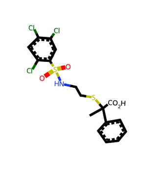 CC(SCCNS(=O)(=O)c1cc(Cl)c(Cl)cc1Cl)(C(=O)O)c1ccccc1